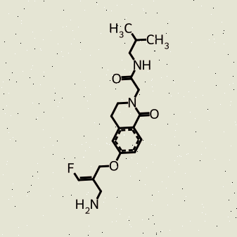 CC(C)CNC(=O)CN1CCc2cc(OC/C(=C\F)CN)ccc2C1=O